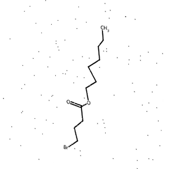 CCCCCCCOC(=O)CCCBr